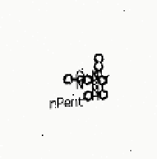 CCCCCc1ccc(Nc2ccccc2-c2cc(C)c3c4cc5ccccc5cc4n4c3c2Bc2cc3nc(-c5ccccc5)oc3cc2-4)cc1